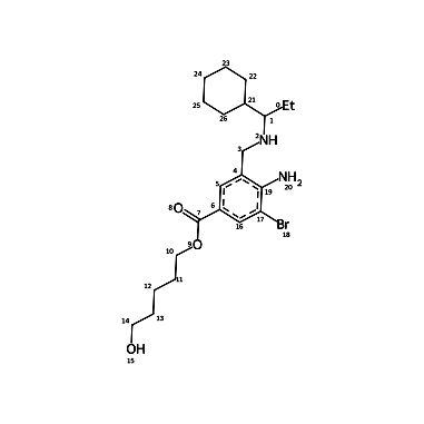 CCC(NCc1cc(C(=O)OCCCCCO)cc(Br)c1N)C1CCCCC1